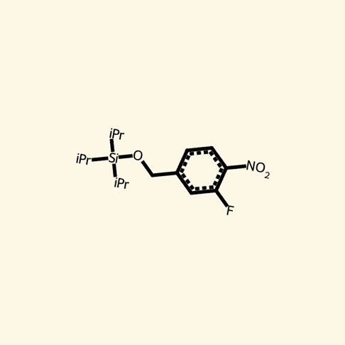 CC(C)[Si](OCc1ccc([N+](=O)[O-])c(F)c1)(C(C)C)C(C)C